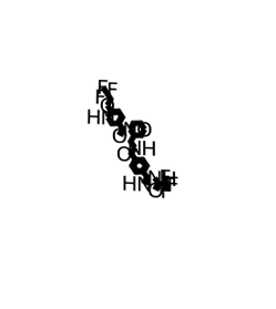 N=C(NC(=O)C(F)(F)F)c1ccc(C(=O)NCC2COCCN2C(=O)C2=CC=C(OCC(F)(F)F)NC2)cc1